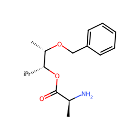 CC(C)[C@@H](OC(=O)[C@H](C)N)[C@H](C)OCc1ccccc1